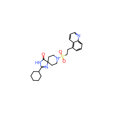 O=C1NC(C2CCCCC2)=NC12CCN(S(=O)(=O)CCc1cccc3ncccc13)CC2